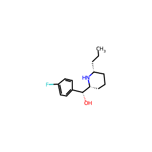 CCC[C@@H]1CCC[C@H]([C@H](O)c2ccc(F)cc2)N1